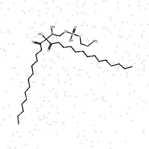 CCCCCCCCCCCCCC(=O)C(O)(C(=O)CCCCCCCCCCCCC)[C@@H](O)COP(=O)(O)OCCN